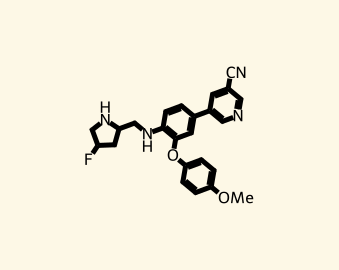 COc1ccc(Oc2cc(-c3cncc(C#N)c3)ccc2NCC2CC(F)CN2)cc1